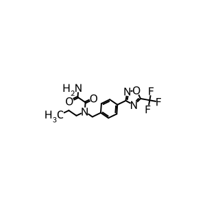 CCCN(Cc1ccc(-c2noc(C(F)(F)F)n2)cc1)C(=O)C(N)=O